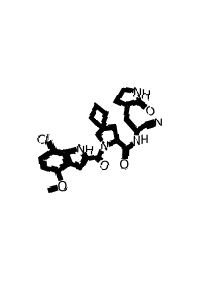 COc1ccc(Cl)c2[nH]c(C(=O)N3CC4(CCC4)CC3C(=O)NC(C#N)CC3CCNC3=O)cc12